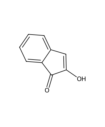 O=C1C(O)=Cc2ccccc21